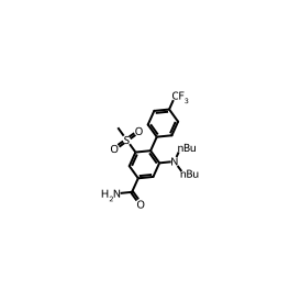 CCCCN(CCCC)c1cc(C(N)=O)cc(S(C)(=O)=O)c1-c1ccc(C(F)(F)F)cc1